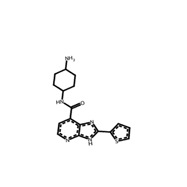 NC1CCC(NC(=O)c2ccnc3[nH]c(-c4cccs4)nc23)CC1